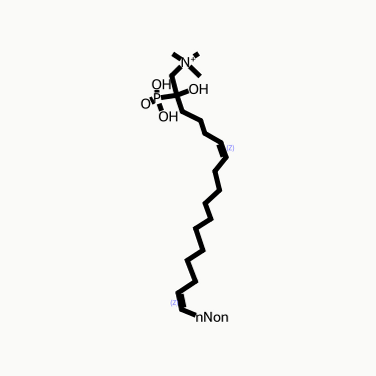 CCCCCCCCC/C=C\CCCCCCCC/C=C\CCCC(O)(C[N+](C)(C)C)P(=O)(O)O